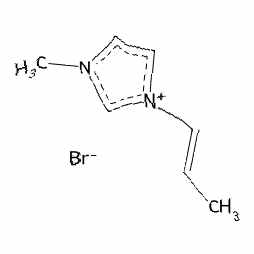 CC=C[n+]1ccn(C)c1.[Br-]